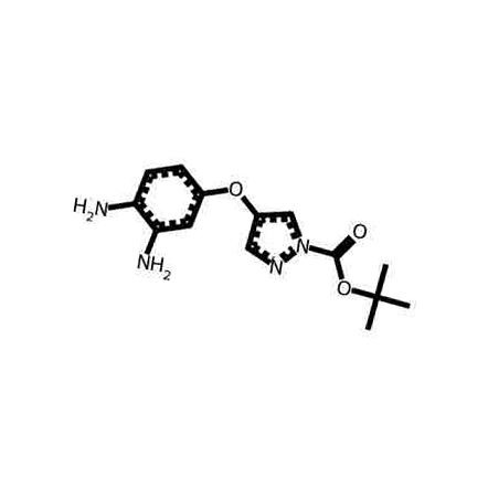 CC(C)(C)OC(=O)n1cc(Oc2ccc(N)c(N)c2)cn1